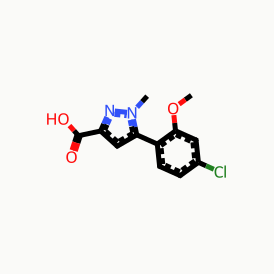 COc1cc(Cl)ccc1-c1cc(C(=O)O)nn1C